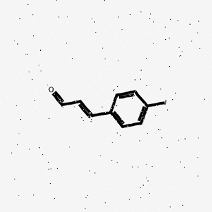 O=[C]/C=C/c1ccc(I)cc1